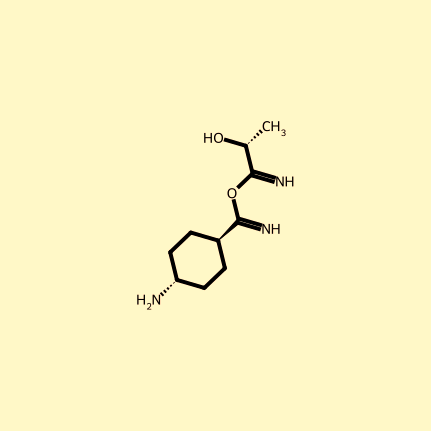 C[C@@H](O)C(=N)OC(=N)[C@H]1CC[C@H](N)CC1